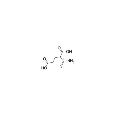 NC(=S)C(CCC(=O)O)C(=O)O